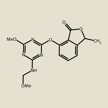 COCNc1nc(OC)nc(Oc2cccc3c2C(=O)OC3C)n1